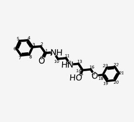 O=C(Cc1ccccc1)NCCNCC(O)COc1ccccc1